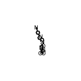 C[C@]1(CN2CCc3nc(-c4ccc(C#N)cc4)ccc3C2)Cn2cc([N+](=O)[O-])nc2O1